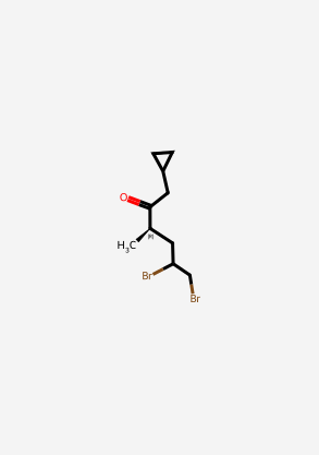 C[C@H](CC(Br)CBr)C(=O)CC1CC1